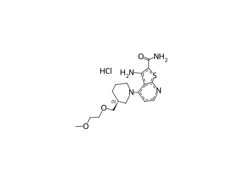 COCCOC[C@H]1CCCN(c2ccnc3sc(C(N)=O)c(N)c23)C1.Cl